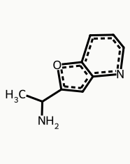 CC(N)c1cc2ncccc2o1